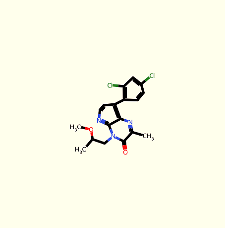 COC(C)Cn1c(=O)c(C)nc2c(-c3ccc(Cl)cc3Cl)ccnc21